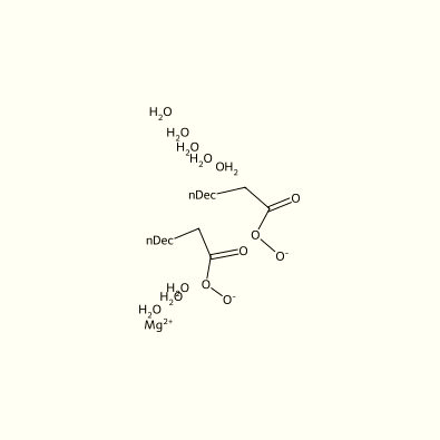 CCCCCCCCCCCC(=O)O[O-].CCCCCCCCCCCC(=O)O[O-].O.O.O.O.O.O.O.O.[Mg+2]